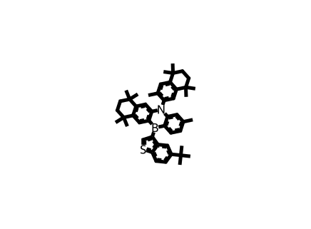 Cc1ccc2c(c1)N(c1cc3c(cc1C)C(C)(C)CCC3(C)C)c1cc3c(cc1B2c1csc2ccc(C(C)(C)C)cc12)C(C)(C)CCC3(C)C